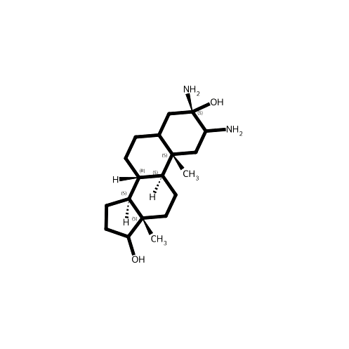 C[C@]12CC(N)[C@@](N)(O)CC1CC[C@@H]1[C@@H]2CC[C@]2(C)C(O)CC[C@@H]12